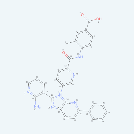 Cc1cc(C(=O)O)ccc1NC(=O)c1ccc(-n2c(-c3cccnc3N)nc3ccc(-c4ccccc4)nc32)cn1